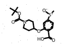 C[S+]([O-])c1ccc(C(=O)O)c(OC2CCN(C(=O)OC(C)(C)C)CC2)c1